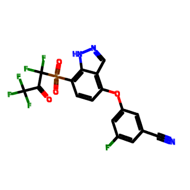 N#Cc1cc(F)cc(Oc2ccc(S(=O)(=O)C(F)(F)C(=O)C(F)(F)F)c3[nH]ncc23)c1